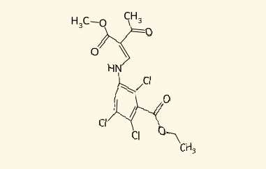 CCOC(=O)c1c(Cl)c(Cl)cc(NC=C(C(C)=O)C(=O)OC)c1Cl